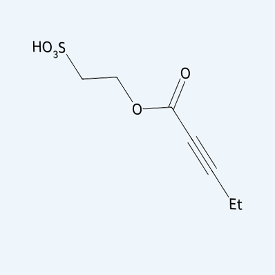 CCC#CC(=O)OCCS(=O)(=O)O